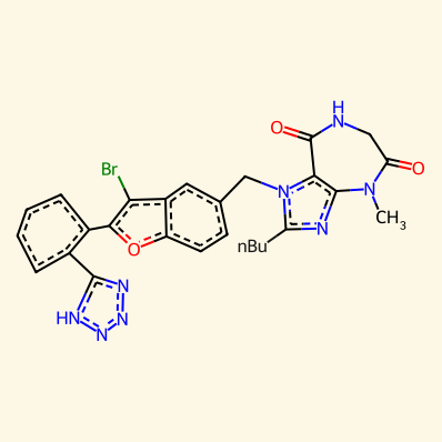 CCCCc1nc2c(n1Cc1ccc3oc(-c4ccccc4-c4nnn[nH]4)c(Br)c3c1)C(=O)NCC(=O)N2C